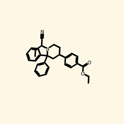 CCOC(=O)c1ccc(C2CCN(C(C#N)CC)C(c3ccccc3)(c3ccccc3)C2)cc1